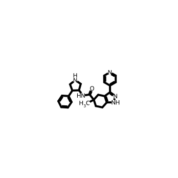 CC1(C(=O)NC2CNCC2c2ccccc2)CCc2[nH]nc(-c3ccncc3)c2C1